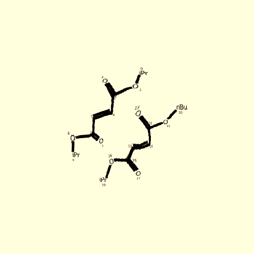 CC(C)OC(=O)/C=C/C(=O)OC(C)C.CCCCOC(=O)/C=C/C(=O)OC(C)C